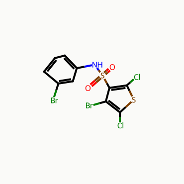 O=S(=O)(Nc1cccc(Br)c1)c1c(Cl)sc(Cl)c1Br